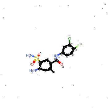 Cc1cc(N)c(S(N)(=O)=O)cc1C(=O)Nc1ccc(F)c(Cl)c1